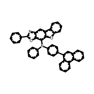 c1ccc(-c2nc3cc4c(oc5ccccc54)c(N(c4ccccc4)c4ccc(-c5cc6ccccc6c6ccccc56)cc4)c3o2)cc1